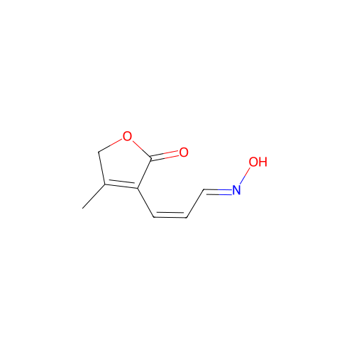 CC1=C(/C=C\C=N\O)C(=O)OC1